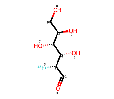 O=C[C@H]([13F])[C@@H](O)[C@H](O)[C@H](O)CO